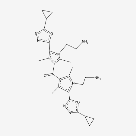 Cc1c(C(=O)c2c(C)c(-c3nnc(C4CC4)o3)n(CCN)c2C)c(C)n(CCN)c1-c1nnc(C2CC2)o1